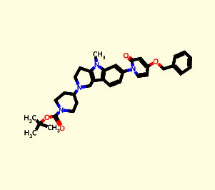 Cn1c2c(c3ccc(-n4ccc(OCc5ccccc5)cc4=O)cc31)CN(C1CCN(C(=O)OC(C)(C)C)CC1)CC2